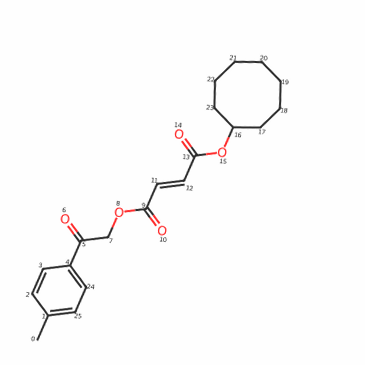 Cc1ccc(C(=O)COC(=O)/C=C/C(=O)OC2CCCCCCC2)cc1